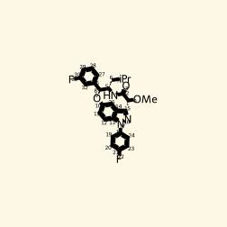 COCC(=O)N[C@@H](CC(C)C)[C@H](Oc1ccc2c(cnn2-c2ccc(F)cc2)c1)c1cccc(F)c1